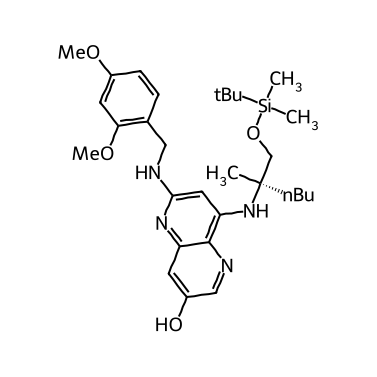 CCCC[C@](C)(CO[Si](C)(C)C(C)(C)C)Nc1cc(NCc2ccc(OC)cc2OC)nc2cc(O)cnc12